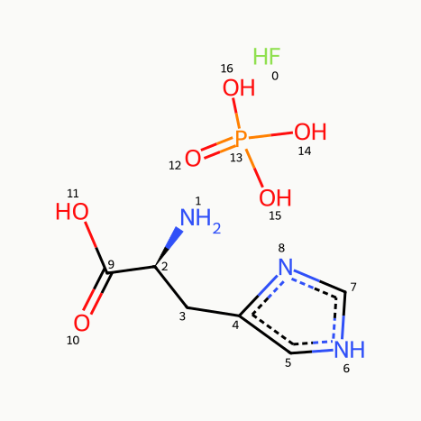 F.N[C@@H](Cc1c[nH]cn1)C(=O)O.O=P(O)(O)O